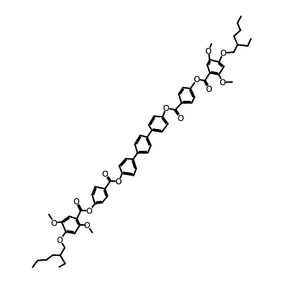 CCCCC(CC)COc1cc(OC)c(C(=O)Oc2ccc(C(=O)Oc3ccc(-c4ccc(-c5ccc(OC(=O)c6ccc(OC(=O)c7cc(OC)c(OCC(CC)CCCC)cc7OC)cc6)cc5)cc4)cc3)cc2)cc1OC